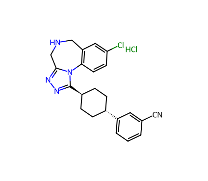 Cl.N#Cc1cccc([C@H]2CC[C@H](c3nnc4n3-c3ccc(Cl)cc3CNC4)CC2)c1